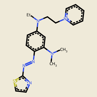 CCN(CC[n+]1ccccc1)c1ccc(/N=N/c2nccs2)c(N(C)C)c1